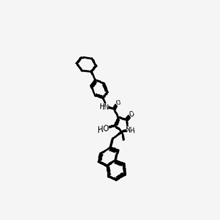 CC1(Cc2ccc3ccccc3c2)NC(=O)C(C(=O)Nc2ccc(C3CCCCC3)cc2)=C1O